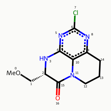 COC[C@@H]1Nc2nc(Cl)nc3c2N(CCC3)C1=O